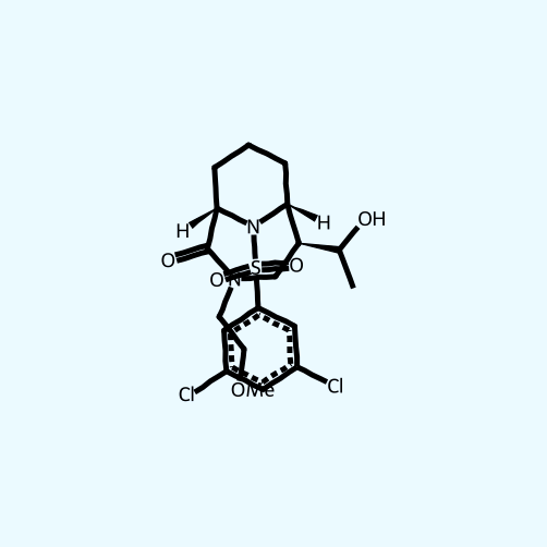 COCCN1C[C@H](C(C)O)[C@H]2CCC[C@@H](C1=O)N2S(=O)(=O)c1cc(Cl)cc(Cl)c1